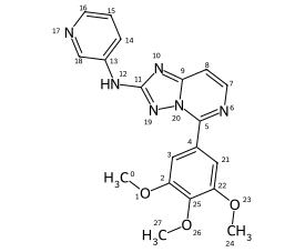 COc1cc(-c2nccc3nc(Nc4cccnc4)nn23)cc(OC)c1OC